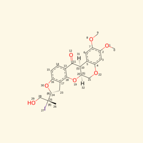 COc1cc2c(cc1OC)[C@@H]1C(=O)c3ccc4c(c3O[C@@H]1CO2)C[C@H]([C@](C)(I)CO)O4